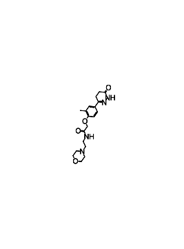 Cc1cc(C2=NNC(=O)CC2)ccc1OCC(=O)NCCN1CCOCC1